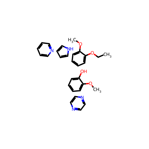 CCOc1ccccc1OC.COc1ccccc1O.c1cc[nH]c1.c1ccncc1.c1cnccn1